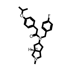 CC(C)Oc1ccc(CC(=O)N(Cc2ccc(F)cc2)C2CC3CN(C)C[C@@H]3C2)cc1